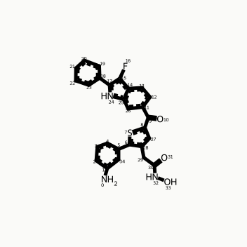 Nc1cccc(-c2sc(C(=O)c3ccc4c(F)c(-c5ccccc5)[nH]c4c3)cc2CC(=O)NO)c1